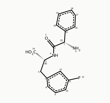 N[C@H](C(=O)N[C@H](Cc1cccc(F)c1)C(=O)O)c1ccccc1